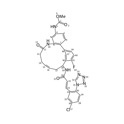 COC(=O)Nc1ccc2c(c1)NC(=O)CCC=CCC(NC(=O)C=Cc1cc(Cl)ccc1-n1cnnn1)c1cc-2ccc1F